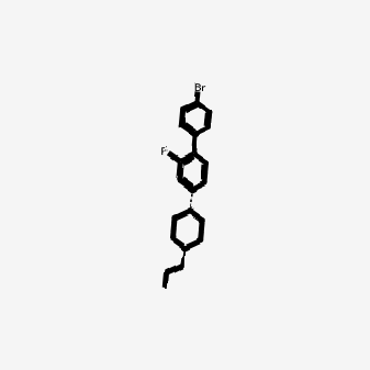 CCC[C@H]1CC[C@H](c2ccc(-c3ccc(Br)cc3)c(F)c2)CC1